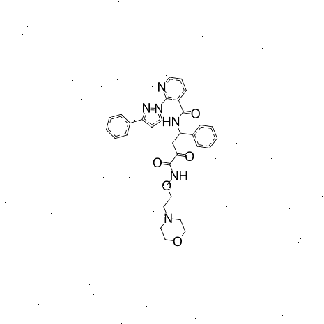 O=C(CC(NC(=O)c1cccnc1-n1ccc(-c2ccccc2)n1)c1ccccc1)C(=O)NOCCN1CCOCC1